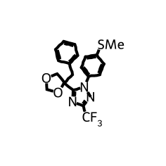 CSc1ccc(-n2nc(C(F)(F)F)nc2C2(Cc3ccccc3)COCO2)cc1